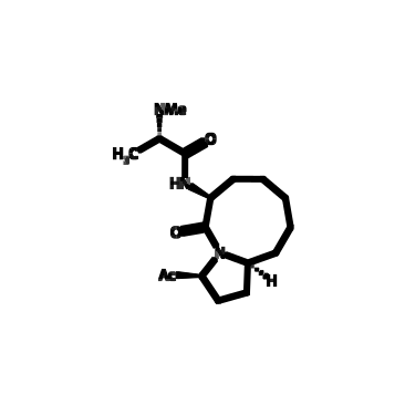 CN[C@@H](C)C(=O)N[C@H]1CCCCC[C@H]2CC[C@@H](C(C)=O)N2C1=O